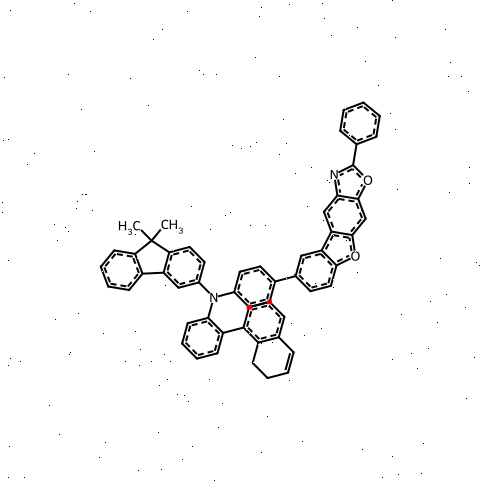 CC1(C)c2ccccc2-c2cc(N(c3ccc(-c4ccc5oc6cc7oc(-c8ccccc8)nc7cc6c5c4)cc3)c3ccccc3-c3cccc4c3CCC=C4)ccc21